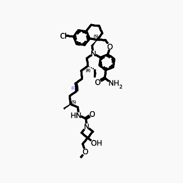 CC[C@H](CC/C=C/C[C@H](C)CNC(=O)N1CC(O)(COC)C1)CN1C[C@@]2(CCCc3cc(Cl)ccc32)COc2ccc(C(N)=O)cc21